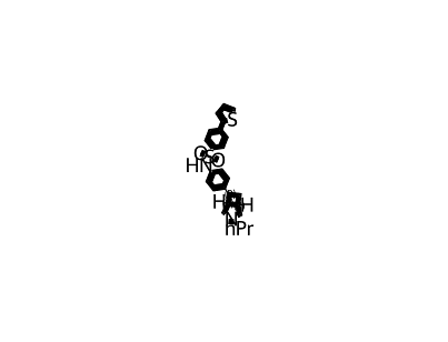 CCCN1C[C@@H]2C[C@@H](c3ccc(NS(=O)(=O)c4ccc(-c5cccs5)cc4)cc3)[C@@H]2C1